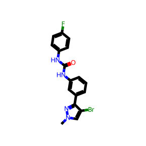 Cn1cc(Br)c(-c2cccc(NC(=O)Nc3ccc(F)cc3)c2)n1